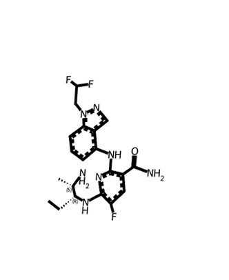 CC[C@@H](Nc1nc(Nc2cccc3c2cnn3CC(F)F)c(C(N)=O)cc1F)[C@H](C)N